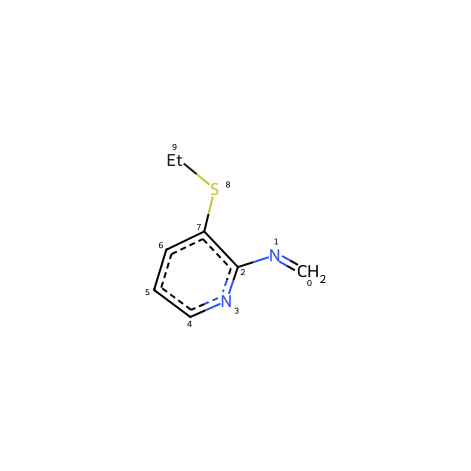 C=Nc1ncccc1SCC